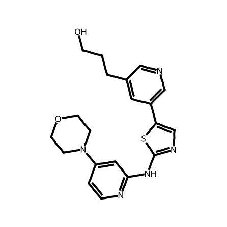 OCCCc1cncc(-c2cnc(Nc3cc(N4CCOCC4)ccn3)s2)c1